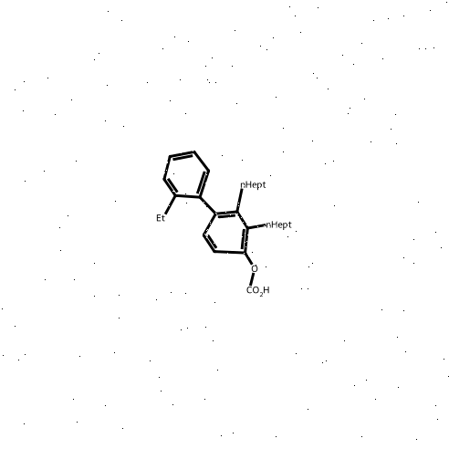 CCCCCCCc1c(OC(=O)O)ccc(-c2ccccc2CC)c1CCCCCCC